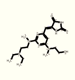 CCN(CC)CCN(C)c1nc(/C=C2\NC(=O)NC2=O)cc(N(C)CCO)n1